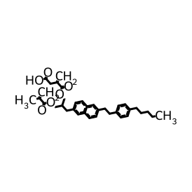 C=C(C)C(=O)OCC(COC(=O)C(=C)CC(=O)O)Cc1ccc2cc(CCc3ccc(CCCCC)cc3)ccc2c1